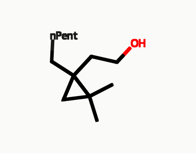 CCCCCCC1(CCO)CC1(C)C